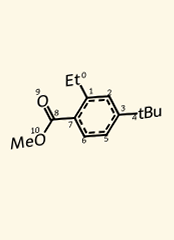 CCc1cc(C(C)(C)C)ccc1C(=O)OC